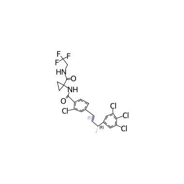 C[C@H](/C=C/c1ccc(C(=O)NC2(C(=O)NCC(F)(F)F)CC2)c(Cl)c1)c1cc(Cl)c(Cl)c(Cl)c1